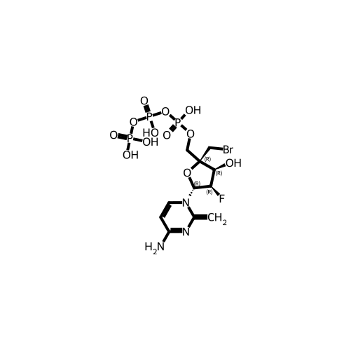 C=C1N=C(N)C=CN1[C@@H]1O[C@](CBr)(COP(=O)(O)OP(=O)(O)OP(=O)(O)O)[C@@H](O)[C@H]1F